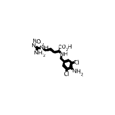 N/C(=N/[N+](=O)[O-])NCCC[C@@H](NCc1cc(Cl)c(N)c(Cl)c1)C(=O)O